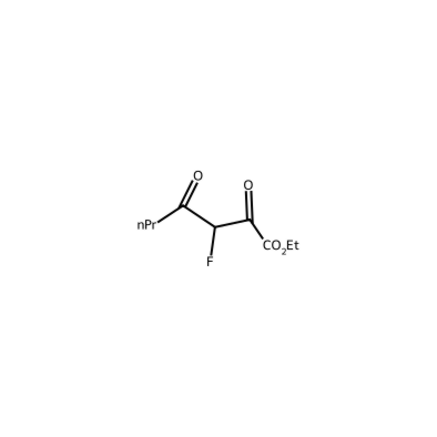 CCCC(=O)C(F)C(=O)C(=O)OCC